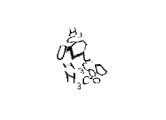 CC(=O)O[C@H]1CCC[C@H]1C[C@@H](C)[C@@H]1CCC(C)C(=O)C1